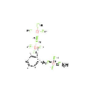 CC(=O)c1ccccc1.F[B-](F)(F)F.F[B-](F)(F)F.F[B-](F)(F)F.[KH]